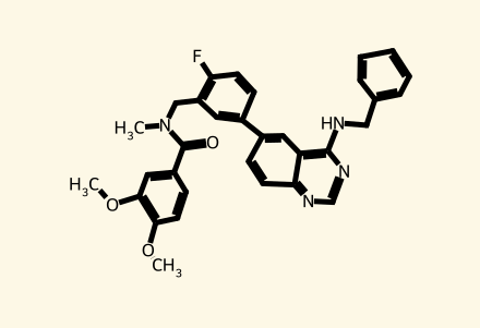 COc1ccc(C(=O)N(C)Cc2cc(-c3ccc4ncnc(NCc5ccccc5)c4c3)ccc2F)cc1OC